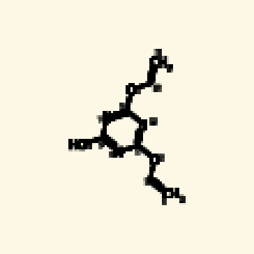 C=COc1nc(O)nc(OC=C)n1